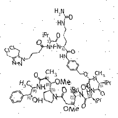 CC[C@H](C)[C@@H]([C@@H](CC(=O)N1CCC[C@H]1[C@H](OC)[C@@H](C)C(=O)N[C@H](C)[C@@H](O)c1ccccc1)OC)N(C)C(=O)[C@@H](NC(=O)[C@H](C(C)C)N(C)C(=O)OCc1ccc(NC(=O)[C@H](CCCNC(N)=O)NC(=O)[C@@H](NC(=O)CCCn2nnc(CCl)c2CCl)C(C)C)cc1)C(C)C